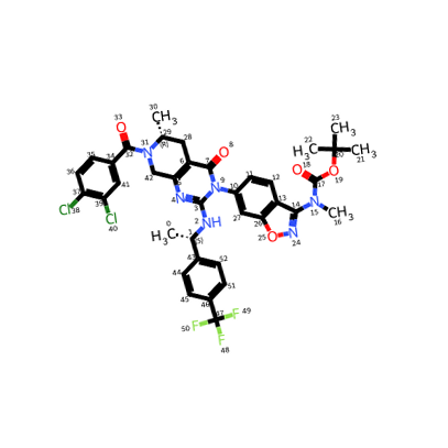 C[C@H](Nc1nc2c(c(=O)n1-c1ccc3c(N(C)C(=O)OC(C)(C)C)noc3c1)C[C@@H](C)N(C(=O)c1ccc(Cl)c(Cl)c1)C2)c1ccc(C(F)(F)F)cc1